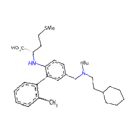 CCCCN(CCC1CCCCC1)Cc1ccc(N[C@@H](CCSC)C(=O)O)c(-c2ccccc2C)c1